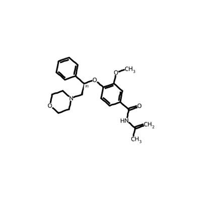 C=C(C)NC(=O)c1ccc(O[C@@H](CN2CCOCC2)c2ccccc2)c(OC)c1